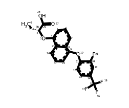 CC[C@@H](Oc1cccc2c(Oc3ccc(C(F)(F)F)cc3F)cccc12)C(=O)O